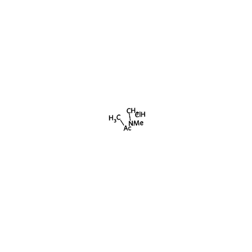 CC(C)=O.CNC.Cl